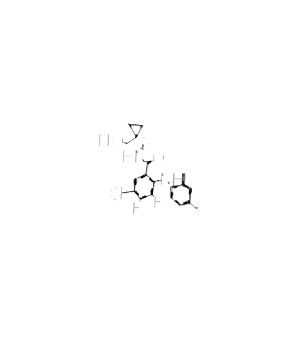 Cc1cc(I)ccc1Nc1c(C(=O)NOC2(CO)CC2)cc(Cl)c(F)c1F